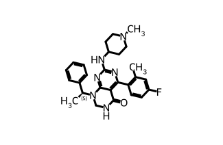 Cc1cc(F)ccc1-c1nc(NC2CCN(C)CC2)nc2c1C(=O)NCN2[C@@H](C)c1ccccc1